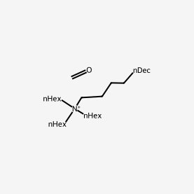 C=O.CCCCCCCCCCCCCC[N+](CCCCCC)(CCCCCC)CCCCCC